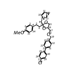 COc1ccc(CCC2(Cn3ccnc3)OCC(COCc3ccc(-c4ccc(Cl)cc4)cc3)O2)cc1